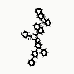 c1ccc(-c2ccc(-c3cc4c5c(sc4cc3-c3ccccc3)C(c3cccc4c(-n6c7ccccc7c7cc8ccccc8cc76)cccc34)=NC(c3ccncc3)N5)cc2)cc1